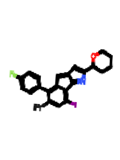 CC(C)c1cc(I)c2c(c1-c1ccc(F)cc1)C=C1C=C(C3CCCCO3)N=C12